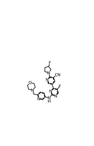 N#Cc1cc(-c2nc(Nc3ccc(CN4CCOCC4)nc3)ncc2F)cnc1N1CCC(F)C1